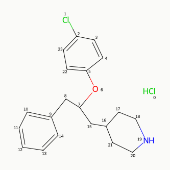 Cl.Clc1ccc(OC(Cc2ccccc2)CC2CCNCC2)cc1